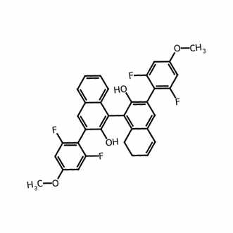 COc1cc(F)c(-c2cc3c(c(-c4c(O)c(-c5c(F)cc(OC)cc5F)cc5ccccc45)c2O)CCC=C3)c(F)c1